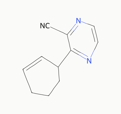 N#Cc1nccnc1C1C=CCCC1